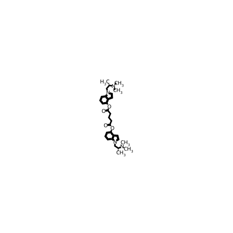 C[C@H](Cn1ccc2c(OC(=O)CCCC(=O)Oc3cccc4c3ccn4C[C@H](C)N(C)C)cccc21)N(C)C